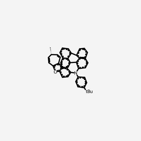 C[C@H]1C=Cc2oc3ccc(N(c4ccc(C(C)(C)C)cc4)c4ccccc4-c4cccc5cccc(-c6ccccc6)c45)cc3c2C=C1